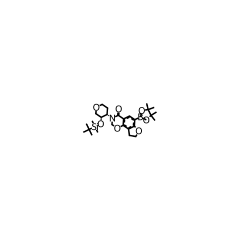 CC1(C)OB(c2cc3c(c4c2OCC4)OCN([C@H]2CCOC[C@@H]2O[Si](C)(C)C(C)(C)C)C3=O)OC1(C)C